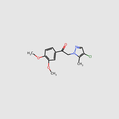 COc1ccc(C(=O)Cn2ncc(Cl)c2C)cc1OC